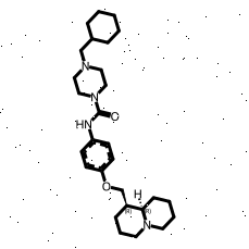 O=C(Nc1ccc(OC[C@@H]2CCCN3CCCC[C@H]23)cc1)N1CCN(CC2CCCCC2)CC1